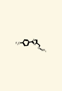 NOCc1csc(-c2ccc(C(F)(F)F)cc2)n1